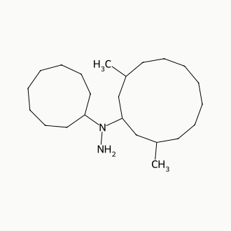 CC1CCCCCCCC(C)CC(N(N)C2CCCCCCCC2)C1